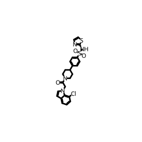 O=C(Cn1ccc2cccc(Cl)c21)N1CCC(c2ccc(S(=O)(=O)Nc3nccs3)cc2)CC1